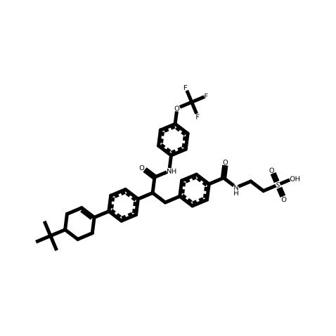 CC(C)(C)C1CC=C(c2ccc(C(Cc3ccc(C(=O)NCCS(=O)(=O)O)cc3)C(=O)Nc3ccc(OC(F)(F)F)cc3)cc2)CC1